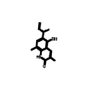 C=CC(C)c1cc(C)c2[nH]c(=O)c(C)cc2c1O